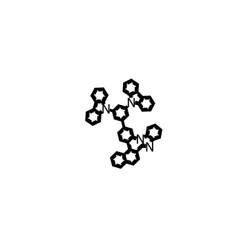 c1ccc2c(c1)ccc1c2c2ccc(-c3cc(-n4c5ccccc5c5ccccc54)cc(-n4c5ccccc5c5ccccc54)c3)cc2n2c3ccccc3nc12